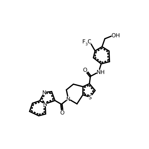 O=C(Nc1ccc(CO)c(C(F)(F)F)c1)c1csc2c1CCN(C(=O)c1cnc3ccccn13)C2